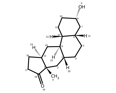 C[C@]12C[C@H]3CC[C@H]4C[C@@H](O)CC[C@H]4[C@@H]3C[C@@H]1CCC2=O